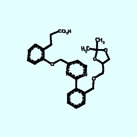 CC1(C)OCC(COCc2ccccc2-c2nccc(COc3ccccc3CCC(=O)O)n2)O1